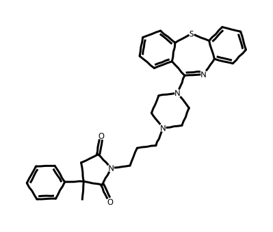 CC1(c2ccccc2)CC(=O)N(CCCN2CCN(C3=Nc4ccccc4Sc4ccccc43)CC2)C1=O